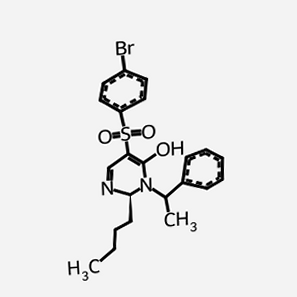 CCCC[C@H]1N=CC(S(=O)(=O)c2ccc(Br)cc2)=C(O)N1C(C)c1ccccc1